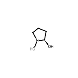 O[C@@H]1CCCN1O